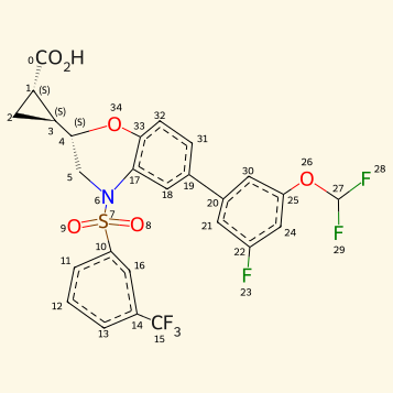 O=C(O)[C@H]1C[C@@H]1[C@H]1CN(S(=O)(=O)c2cccc(C(F)(F)F)c2)c2cc(-c3cc(F)cc(OC(F)F)c3)ccc2O1